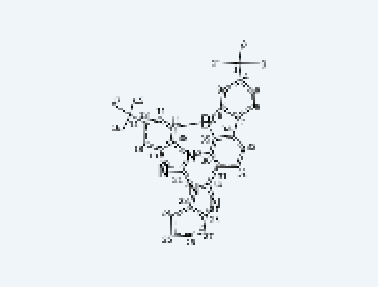 CC(C)(C)c1ccc2c(c1)B1c3cc(C(C)(C)C)cc4nc5n6c7ccccc7nc6c6ccc-2c1c6n5c34